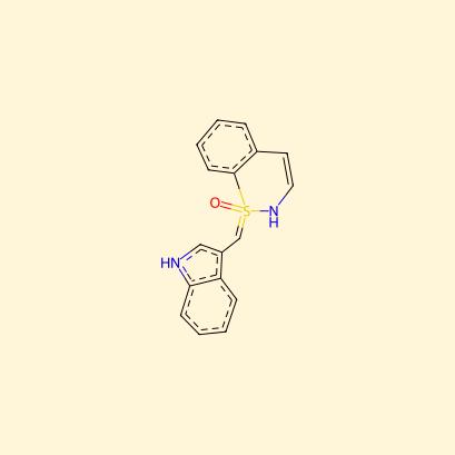 O=S1(=Cc2c[nH]c3ccccc23)NC=Cc2ccccc21